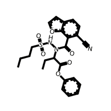 CCCCS(=O)(=O)NN(C(=O)c1c(C#N)ccc2ccoc12)C(CC)C(=O)Oc1ccccc1